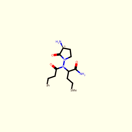 CSCCC(C(N)=O)N(C(=O)CCC(C)C)N1CC[C@H](N)C1=O